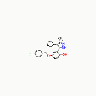 Oc1ccc(OCc2ccc(Cl)cc2)cc1-c1[nH]nc(C(F)(F)F)c1C1C=CC=C1